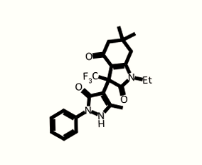 CCN1C(=O)C(c2c(C)[nH]n(-c3ccccc3)c2=O)(C(F)(F)F)C2=C1CC(C)(C)CC2=O